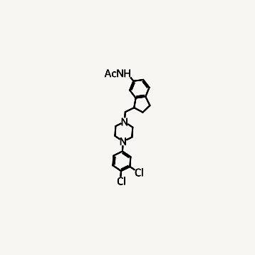 CC(=O)Nc1ccc2c(c1)C(CN1CCN(c3ccc(Cl)c(Cl)c3)CC1)CC2